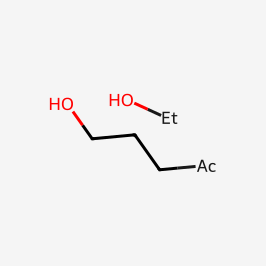 CC(=O)CCCO.CCO